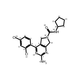 Nc1nc2c(c(-c3ccc(Cl)cc3Cl)n1)CN(C(=O)NC1CCCC1)C2